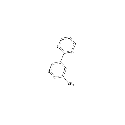 Cc1cn[c]c(-c2ncccn2)c1